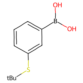 CC(C)(C)Sc1cccc(B(O)O)c1